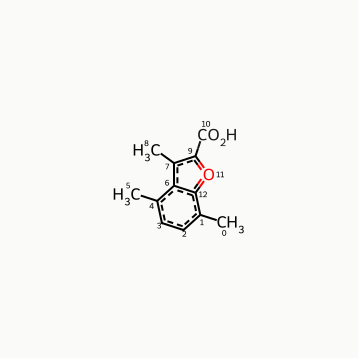 Cc1ccc(C)c2c(C)c(C(=O)O)oc12